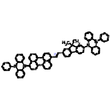 CC1(C)c2cc(/C=C/c3ccc4c5cccc6c(N7c8ccccc8N(c8ccccc8)c8ccccc87)ccc(c7cccc3c47)c65)ccc2-c2ccc(N3c4ccccc4N(c4ccccc4)c4ccccc43)cc21